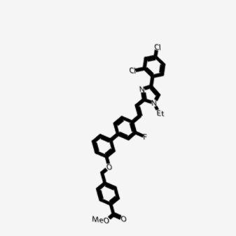 CCn1cc(-c2ccc(Cl)cc2Cl)nc1/C=C/c1ccc(-c2cccc(OCc3ccc(C(=O)OC)cc3)c2)cc1F